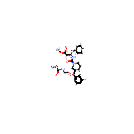 COC(=O)NCCO[C@@H](c1cccc(Cl)c1)[C@@H]1CCCN(C(=O)N[C@@H](CC2CCCCC2)[C@@H](O)C(=O)OC(C)C)C1